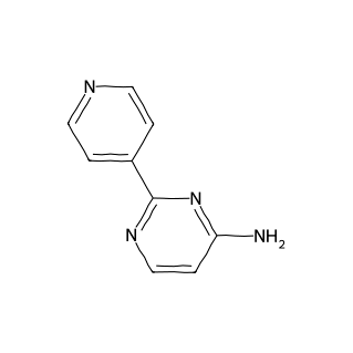 Nc1ccnc(-c2ccncc2)n1